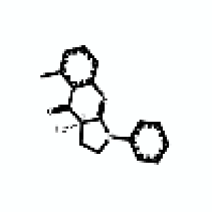 Cc1cccc2c1C(=O)[C@]1(O)CCN(c3ccccc3)C1=N2